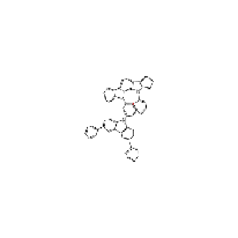 c1ccc(-c2ccc3c(c2)c2cc(-c4ccccc4)ccc2n3-c2cccc(-n3c4ccccc4c4ccc5c6ccccc6n(-c6ccccc6)c5c43)n2)cc1